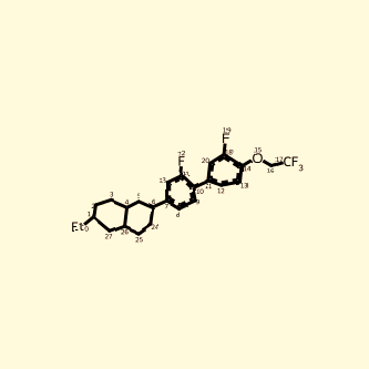 CCC1CCC2CC(c3ccc(-c4ccc(OCC(F)(F)F)c(F)c4)c(F)c3)CCC2C1